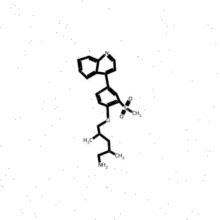 CC(CN)CC(C)COc1ccc(-c2ccnc3ccccc23)cc1S(C)(=O)=O